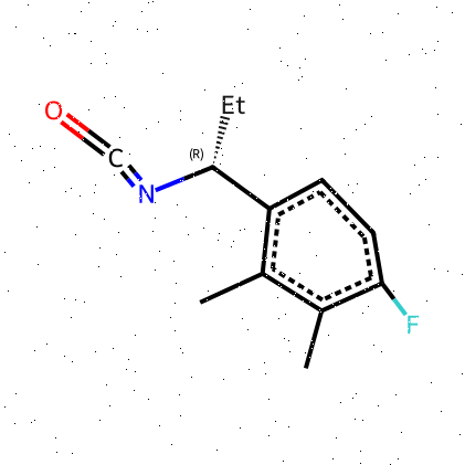 CC[C@@H](N=C=O)c1ccc(F)c(C)c1C